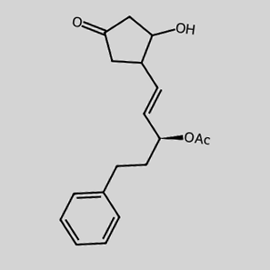 CC(=O)O[C@H](C=CC1CC(=O)CC1O)CCc1ccccc1